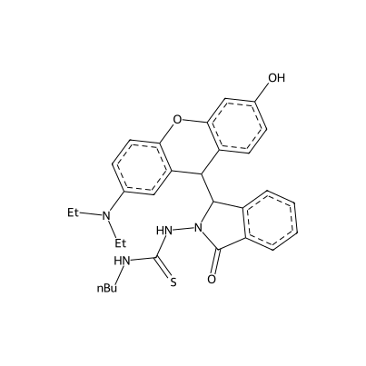 CCCCNC(=S)NN1C(=O)c2ccccc2C1C1c2ccc(O)cc2Oc2ccc(N(CC)CC)cc21